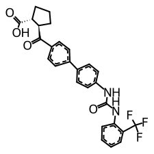 O=C(Nc1ccc(-c2ccc(C(=O)[C@@H]3CCC[C@H]3C(=O)O)cc2)cc1)Nc1ccccc1C(F)(F)F